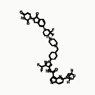 O=C1CCN(N2Cc3cc(N4CC[C@@H](N5CCN(CC6CCC(n7cc(NC(=O)c8cnn9ccc(N%10C[C@H]%11C[C@@H]%10CO%11)nc89)c(C(F)F)n7)CC6)CC5)C(F)(F)C4)ccc3C2=O)C(=O)N1